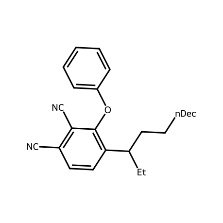 CCCCCCCCCCCCC(CC)c1ccc(C#N)c(C#N)c1Oc1ccccc1